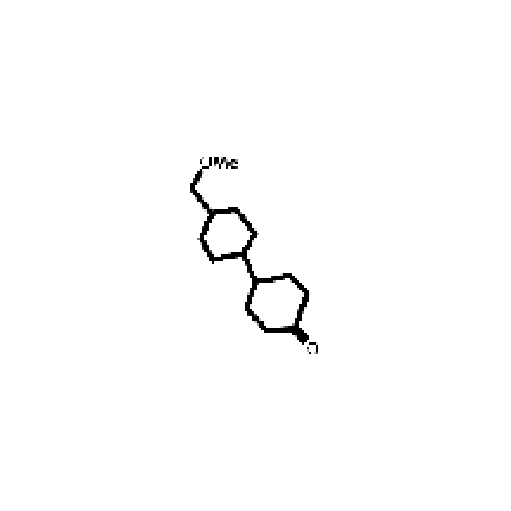 COCC1CCC(C2CCC(=O)CC2)CC1